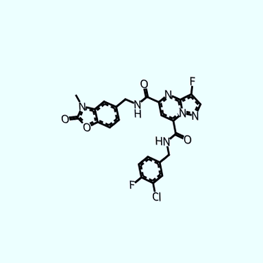 Cn1c(=O)oc2ccc(CNC(=O)c3cc(C(=O)NCc4ccc(F)c(Cl)c4)n4ncc(F)c4n3)cc21